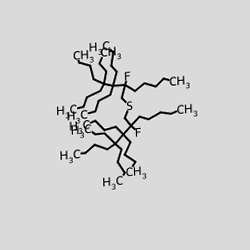 CCCCCC(F)(CSCC(F)(CCCCC)C(CCCC)(CCCC)C(CCC)(CCCC)CCCC)C(CCCC)(CCCC)C(CCC)(CCCC)CCCC